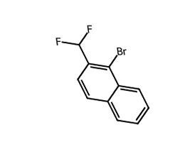 FC(F)c1ccc2ccccc2c1Br